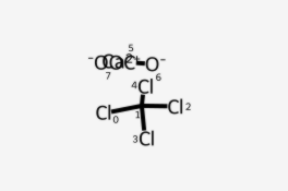 ClC(Cl)(Cl)Cl.O=C([O-])[O-].[Ca+2]